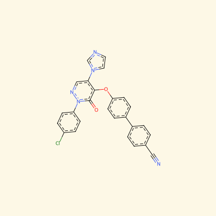 N#Cc1ccc(-c2ccc(Oc3c(-n4ccnc4)cnn(-c4ccc(Cl)cc4)c3=O)cc2)cc1